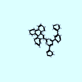 c1ccc(-c2cc(-c3cccc(-c4ccncc4)c3)nc(-c3cc4c5ccccc5c5ccccc5c4c4ccccc34)n2)cc1